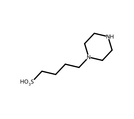 O=S(=O)(O)CCCCN1CCNCC1